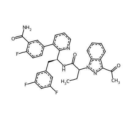 CCC(C(=O)N[C@@H](Cc1cc(F)cc(F)c1)c1ncccc1-c1ccc(F)c(C(N)=O)c1)n1nc(C(C)=O)c2ccccc21